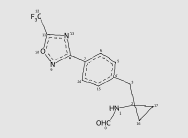 O=CNC1(Cc2ccc(-c3noc(C(F)(F)F)n3)cc2)CC1